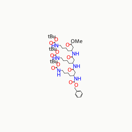 COC(=O)CC(CCCCNC(=O)OC(C)(C)C)NC(=O)CC(CCCCNC(=O)OC(C)(C)C)NC(=O)CC(CCCCNC(=O)OC(C)(C)C)NC(=O)OCc1ccccc1